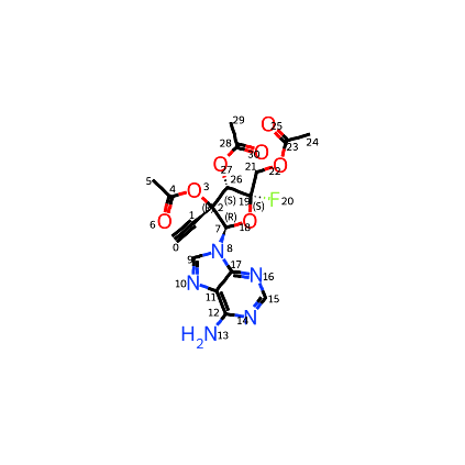 C#C[C@]1(OC(C)=O)[C@H](n2cnc3c(N)ncnc32)O[C@](F)(COC(C)=O)[C@H]1OC(C)=O